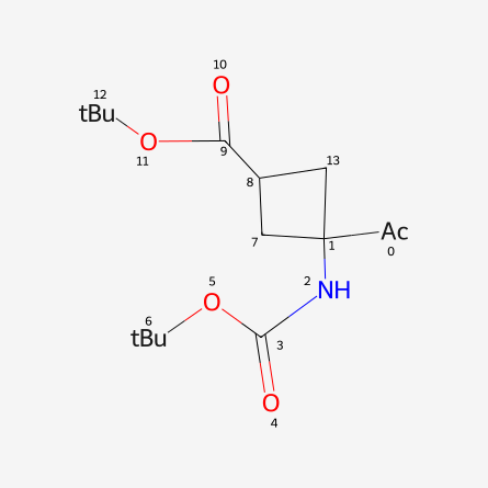 CC(=O)C1(NC(=O)OC(C)(C)C)CC(C(=O)OC(C)(C)C)C1